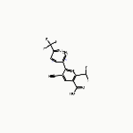 C=C(/C=C\C(=C/C)c1nc(C(F)F)c(C(=O)O)cc1C#N)C(F)(F)F